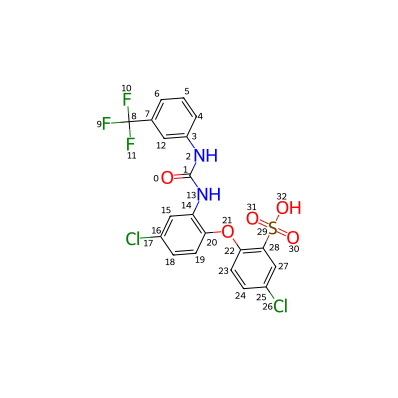 O=C(Nc1cccc(C(F)(F)F)c1)Nc1cc(Cl)ccc1Oc1ccc(Cl)cc1S(=O)(=O)O